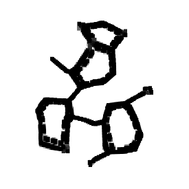 Cc1c(-c2cccnc2-c2cc(Cl)ccc2F)ccc2ncnn12